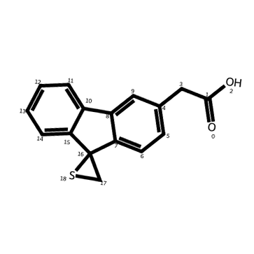 O=C(O)Cc1ccc2c(c1)-c1ccccc1C21CS1